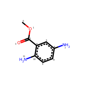 COC(=O)c1cc(N)ccc1N